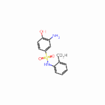 Nc1cc(S(=O)(=O)Nc2ccccc2C(=O)O)ccc1O